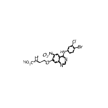 O=C(O)NCCOc1cc2ncnc(Nc3ccc(Br)c(Cl)c3)c2cc1[N+](=O)[O-]